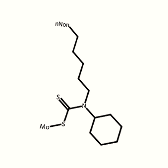 CCCCCCCCCCCCCCN(C(=S)[S][Mo])C1CCCCC1